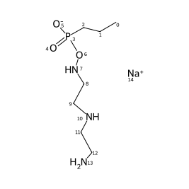 CCCP(=O)([O-])ONCCNCCN.[Na+]